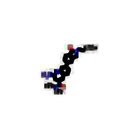 CCCN(CCC)C(=O)C1=Cc2ccc(-c3ccc4c(c3)CN(CCOC)C4=O)cc2N=C(N)C1